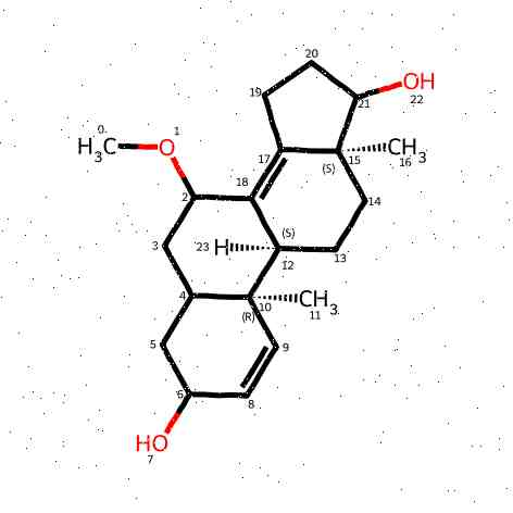 COC1CC2CC(O)C=C[C@]2(C)[C@@H]2CC[C@@]3(C)C(=C12)CCC3O